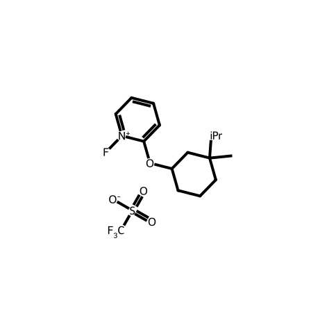 CC(C)C1(C)CCCC(Oc2cccc[n+]2F)C1.O=S(=O)([O-])C(F)(F)F